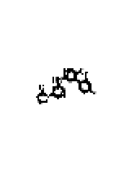 O=C1CCCN1c1cncc(Nc2cc(-c3ccc(F)cc3F)c(Cl)cn2)c1